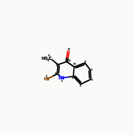 O=C(O)c1c(S)[nH]c2ccccc2c1=O